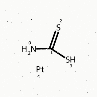 NC(=S)S.[Pt]